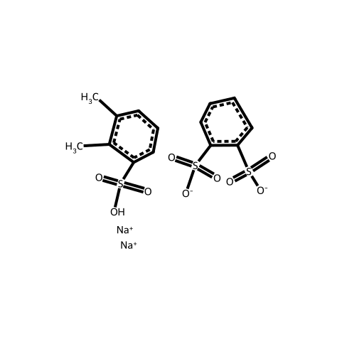 Cc1cccc(S(=O)(=O)O)c1C.O=S(=O)([O-])c1ccccc1S(=O)(=O)[O-].[Na+].[Na+]